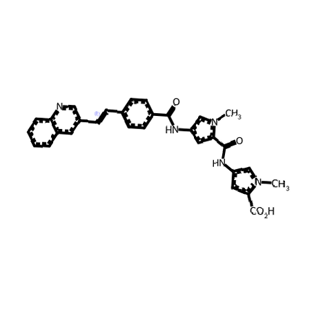 Cn1cc(NC(=O)c2cc(NC(=O)c3ccc(/C=C/c4cnc5ccccc5c4)cc3)cn2C)cc1C(=O)O